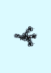 CC(OP(=O)(Oc1ccc([N+](=O)[O-])cc1)Oc1ccc([N+](=O)[O-])cc1)=C(C(=O)OCc1ccc([N+](=O)[O-])cc1)N1C(=O)C2N=C(COc3ccccc3)SC21